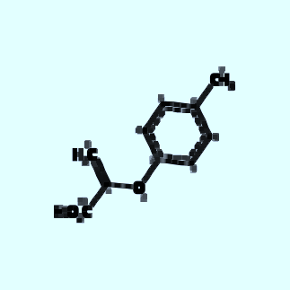 C=C(Oc1ccc(C)cc1)C(=O)OCC